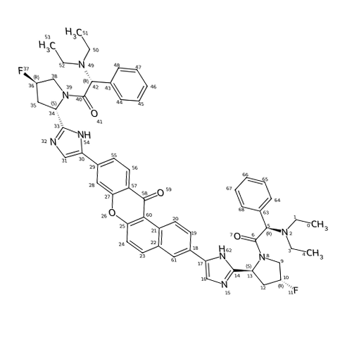 CCN(CC)[C@@H](C(=O)N1C[C@H](F)C[C@H]1c1ncc(-c2ccc3c(ccc4oc5cc(-c6cnc([C@@H]7C[C@@H](F)CN7C(=O)[C@@H](c7ccccc7)N(CC)CC)[nH]6)ccc5c(=O)c43)c2)[nH]1)c1ccccc1